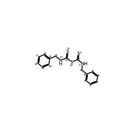 S=C(NCc1ccccc1)SC(=S)NCc1ccccc1